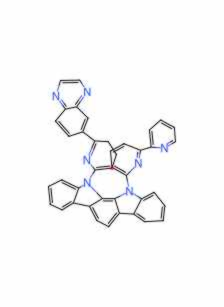 C1=C(n2c3ccccc3c3ccc4c5ccccc5n(-c5cccc(-c6ccccn6)n5)c4c32)N=C(c2ccc3nccnc3c2)CC1